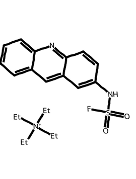 CC[N+](CC)(CC)CC.O=S(=O)(F)Nc1ccc2nc3ccccc3cc2c1